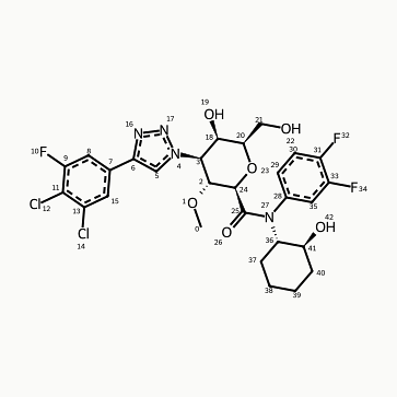 CO[C@@H]1[C@@H](n2cc(-c3cc(F)c(Cl)c(Cl)c3)nn2)[C@@H](O)[C@@H](CO)O[C@H]1C(=O)N(c1ccc(F)c(F)c1)[C@H]1CCCC[C@@H]1O